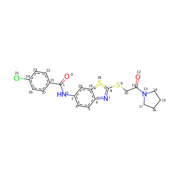 O=C(Nc1ccc2nc(SCC(=O)N3CCCC3)sc2c1)c1ccc(Cl)cc1